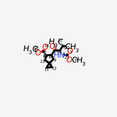 COC(=O)N[C@H](C(=O)C1CC2(CC2)C[C@H]1C(=O)OC)C(C)C